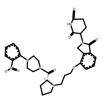 O=C1CCC(N2Cc3c(OCCCN4CCC[C@@H]4C(=O)N4CCN(c5ccccc5[N+](=O)[O-])CC4)cccc3C2=O)C(=O)N1